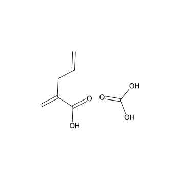 C=CCC(=C)C(=O)O.O=C(O)O